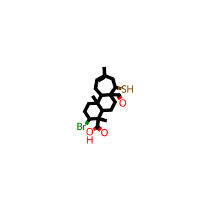 CC1=CCC2C3(C)CCC(Br)C(C)(C(=O)O)C3CCC2(C=O)C(S)C1